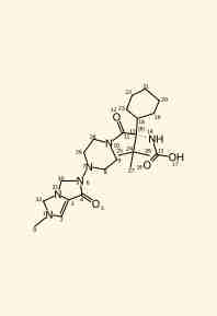 CN1C=C2C(=O)N(N3CCN(C(=O)[C@@](NC(=O)O)(C4CCCCC4)C(C)(C)C)CC3)CN2C1